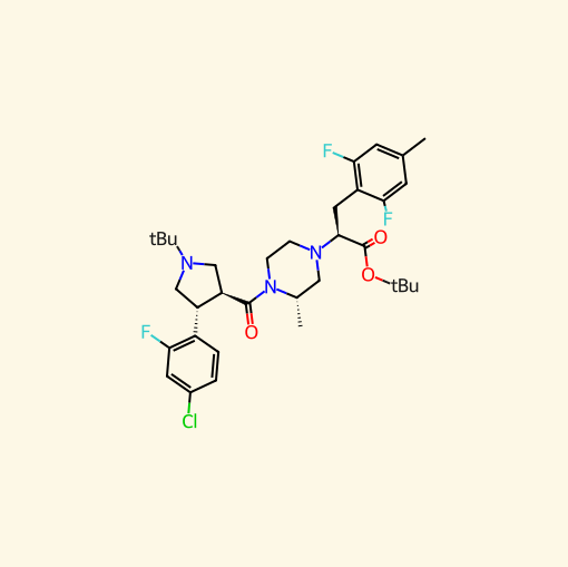 Cc1cc(F)c(C[C@@H](C(=O)OC(C)(C)C)N2CCN(C(=O)[C@@H]3CN(C(C)(C)C)C[C@H]3c3ccc(Cl)cc3F)[C@@H](C)C2)c(F)c1